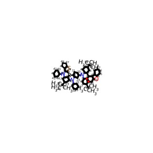 CC(C)(C)c1ccc(N(c2ccc3c(c2)N(c2ccccc2)c2cc(C(C)(C)C)cc4c2B3c2sc3c(c2N4c2ccccc2)CCC3)c2ccc(C(C)(C)C)cc2-c2cccc3oc4ccccc4c23)cc1